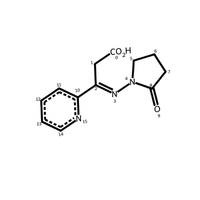 O=C(O)C/C(=N\N1CCCC1=O)c1ccccn1